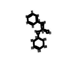 O=[PH](Oc1ccccc1)OC1CC=CCC1